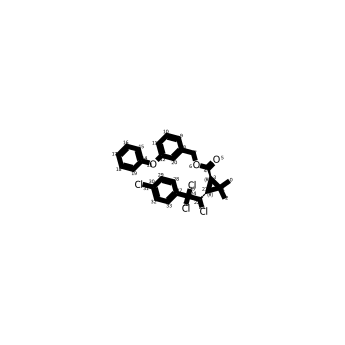 CC1(C)[C@H](C(=O)OCc2cccc(Oc3ccccc3)c2)[C@H]1C(Cl)C(Cl)(Cl)c1ccc(Cl)cc1